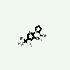 Cc1cc(C(C)(C)C(C)C)cnc1N1CCC[C@H]1CO